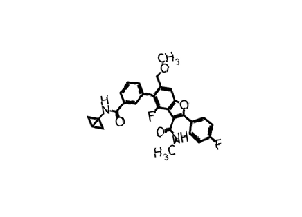 CNC(=O)c1c(-c2ccc(F)cc2)oc2cc(COC)c(-c3cccc(C(=O)NC45CC4C5)c3)c(F)c12